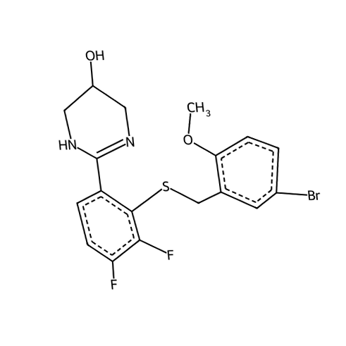 COc1ccc(Br)cc1CSc1c(C2=NCC(O)CN2)ccc(F)c1F